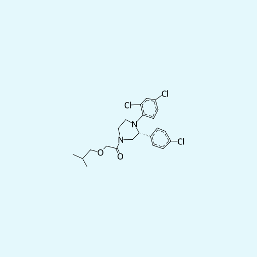 CC(C)COCC(=O)N1CCN(c2ccc(Cl)cc2Cl)[C@H](c2ccc(Cl)cc2)C1